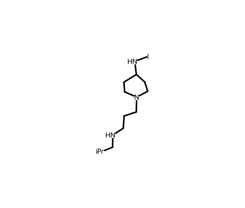 CC(C)CNCCCN1CCC(NI)CC1